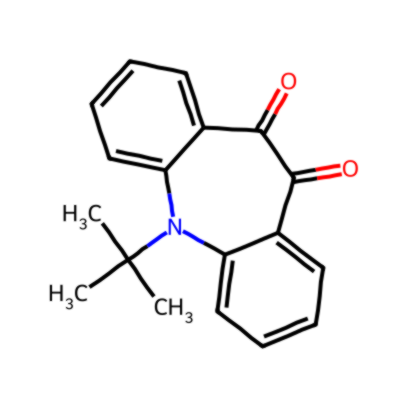 CC(C)(C)n1c2ccccc2c(=O)c(=O)c2ccccc21